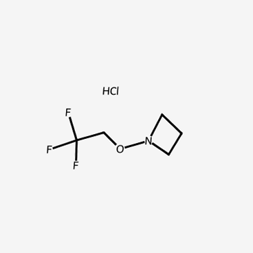 Cl.FC(F)(F)CON1CCC1